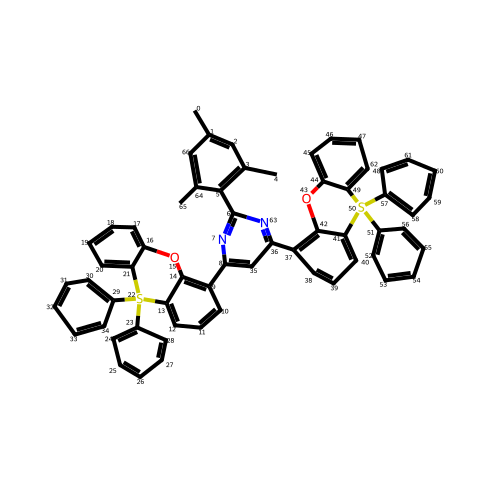 Cc1cc(C)c(-c2nc(-c3cccc4c3Oc3ccccc3S4(c3ccccc3)c3ccccc3)cc(-c3cccc4c3Oc3ccccc3S4(c3ccccc3)c3ccccc3)n2)c(C)c1